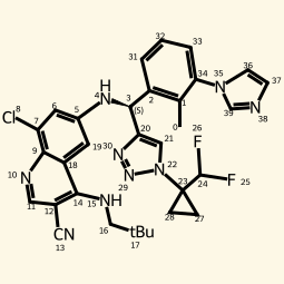 Cc1c([C@H](Nc2cc(Cl)c3ncc(C#N)c(NCC(C)(C)C)c3c2)c2cn(C3(C(F)F)CC3)nn2)cccc1-n1ccnc1